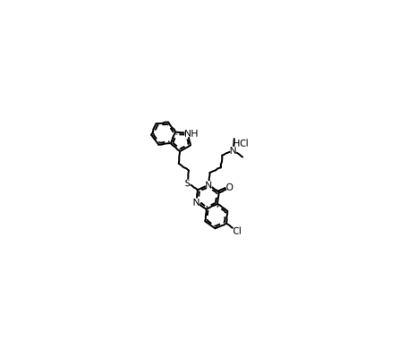 CN(C)CCCn1c(SCCc2c[nH]c3ccccc23)nc2ccc(Cl)cc2c1=O.Cl